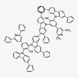 Cc1cc(-c2cc(-n3c4cc(-c5ccccc5)ccc4c4ccc(-c5ccccc5)cc43)c(C#N)c(-n3c4cc(-c5ccccc5)ccc4c4cc(-c5ccc6c(c5)c5cc(-c7ccccc7)ccc5n6-c5cc(-c6cc(-c7ccccc7)nc(-c7ccccc7)c6)cc(-n6c7ccccc7c7cc(-c8ccccc8)ccc76)c5C#N)c(-c5ccccc5)cc43)c2)cc(C)n1